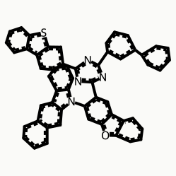 c1ccc(-c2cccc(-c3nc(-c4ccc5c(c4)sc4ccccc45)nc(-c4cc5c(cc4-n4c6ccccc6c6cc7ccccc7cc64)oc4ccccc45)n3)c2)cc1